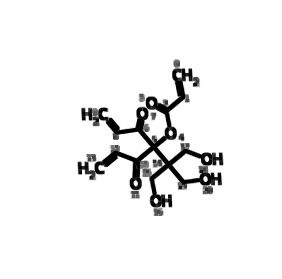 C=CC(=O)OC(C(=O)C=C)(C(=O)C=C)C(CO)(CO)CO